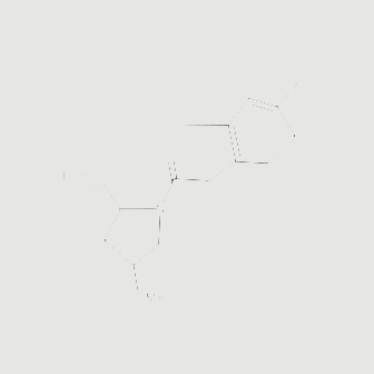 CCOC(=O)C1CC(OC)CN1C(=O)Cc1ccc(Cl)cc1Cl